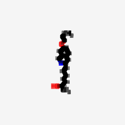 C=CCOc1ccc2cc(C=CCCCC(C)O)ncc2c1